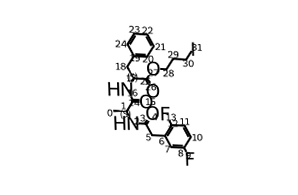 C[C@H](NC(=O)Cc1cc(F)ccc1F)C(=O)N[C@@H](Cc1ccccc1)C(=O)OCCCI